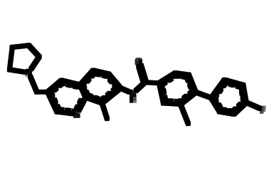 Cc1cc(C(=O)Nc2ccc3cc(CN4CCCC4)cnc3c2C)ccc1-c1ccc(F)cc1